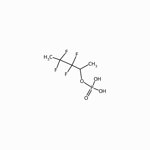 CC(OP(=O)(O)O)C(F)(F)C(C)(F)F